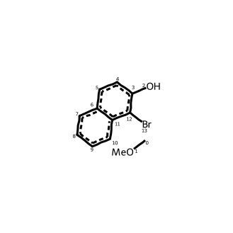 COC.Oc1ccc2ccccc2c1Br